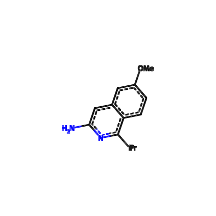 COc1ccc2c(C(C)C)nc(N)cc2c1